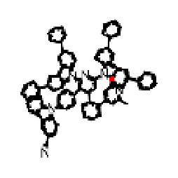 Cc1cc(-c2ccccc2-c2cc(-n3c4ccc(-c5ccccc5)cc4c4cc(-c5ccccc5)ccc43)nc(-n3c4ccc(-c5ccccc5)cc4c4cc(-c5ccccc5)ccc43)c2-c2ccc(-n3c4ccccc4c4cc(C#N)ccc43)cc2)cc(C)n1